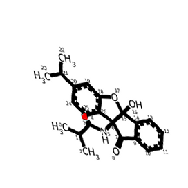 CC(C)C(=O)NC12C(=O)c3ccccc3C1(O)Oc1cc(C(C)C)ccc12